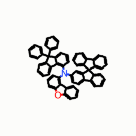 c1ccc(C2(c3ccccc3)c3ccccc3-c3c(N(c4ccc5c(c4)C4(c6ccccc6-c6ccccc64)c4ccccc4-5)c4cccc5oc6ccccc6c45)cccc32)cc1